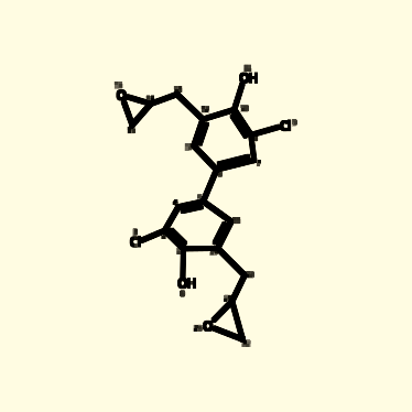 Oc1c(Cl)cc(-c2cc(Cl)c(O)c(CC3CO3)c2)cc1CC1CO1